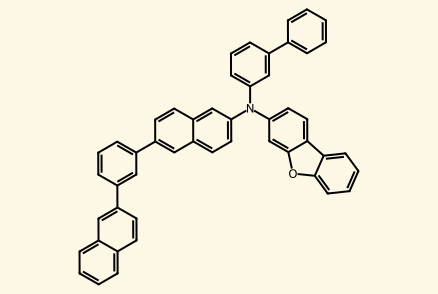 c1ccc(-c2cccc(N(c3ccc4cc(-c5cccc(-c6ccc7ccccc7c6)c5)ccc4c3)c3ccc4c(c3)oc3ccccc34)c2)cc1